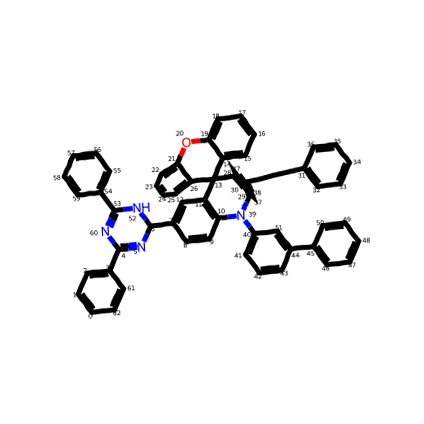 c1ccc(C2=NC(c3ccc4c(c3)C3(c5ccccc5Oc5ccccc53)c3ccc(-c5ccccc5)cc3N4c3cccc(-c4ccccc4)c3)NC(c3ccccc3)=N2)cc1